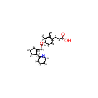 Cc1c(CCC(=O)O)ccc(OCC2=C(c3ccccn3)CCC2)c1C